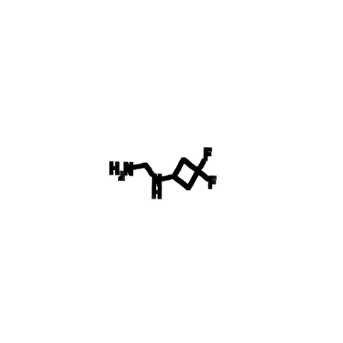 NCNC1CC(F)(F)C1